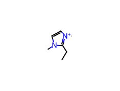 CCC1=[N+]C=CN1C